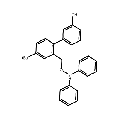 CC(C)(C)c1ccc(-c2cccc(O)c2)c(CO[SiH](c2ccccc2)c2ccccc2)c1